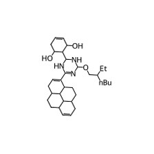 CCCCC(CC)COC1N=C(C2=CCC3CCC4C=CCC5CCC2C3C45)NC(C2C(O)C=CCC2O)N1